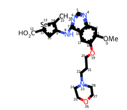 COc1cc2ncnc(Nc3cc(C(=O)O)[se]c3C)c2cc1OCCCN1CCOCC1